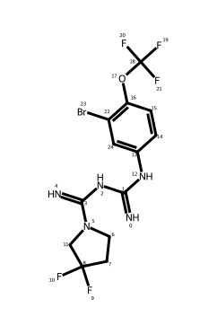 N=C(NC(=N)N1CCC(F)(F)C1)Nc1ccc(OC(F)(F)F)c(Br)c1